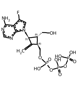 C=C1[C@@H](n2cc(F)c3c(N)ncnc32)[C@H](CO)[C@H]1COP(=O)(O)OP(=O)(O)OP(=O)(O)O